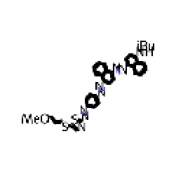 CCC(C)Nc1ccc(/N=N/c2ccc(/N=N/c3ccc(/N=N/c4ncc(SCCCOC)s4)cc3)c3ccccc23)c2ccccc12